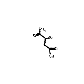 NC(=O)C(Br)CC(=O)O